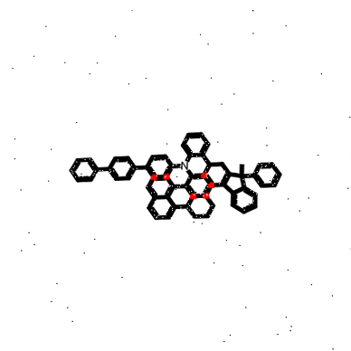 CC1(c2ccccc2)C2=C(C=CC(c3ccccc3N(c3ccc(-c4ccc(-c5ccccc5)cc4)cc3)c3ccccc3-c3cccc4cccc(C5CCCCC5)c34)C2)c2ccccc21